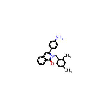 Cc1ccc(Cn2c(-c3ccc(N)cc3)cc3ccccc3c2=O)c(C)c1